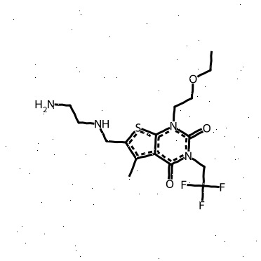 CCOCCn1c(=O)n(CC(F)(F)F)c(=O)c2c(C)c(CNCCN)sc21